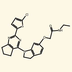 CCNC(=O)COc1ccc2c(c1)N(c1nc(-c3ccc(Cl)s3)nc3c1CCC3)CC2